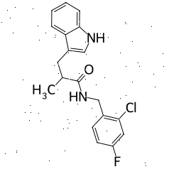 CC(Cc1c[nH]c2ccccc12)C(=O)NCc1ccc(F)cc1Cl